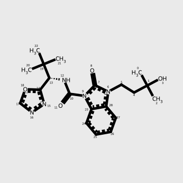 CC(C)(O)CCn1c(=O)n(C(=O)N[C@H](c2nnco2)C(C)(C)C)c2ccccc21